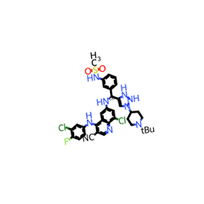 CC(C)(C)N1CCC(N2C=C([C@@H](Nc3cc(Cl)c4ncc(C#N)c(Nc5ccc(F)c(Cl)c5)c4c3)c3cccc(NS(C)(=O)=O)c3)NN2)CC1